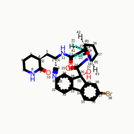 N#C[C@H](C[C@@H]1CCCNC1=O)NC(=O)[C@H]1[C@H]2CC[C@H](CC2(F)F)N1C(=O)[C@]1(O)c2ccccc2-c2ccc(Br)cc21